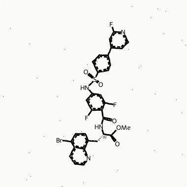 COC(=O)[C@H](Cc1ccc(Br)c2cccnc12)NC(=O)c1c(F)cc(NS(=O)(=O)c2ccc(-c3ccnc(F)c3)cc2)cc1F